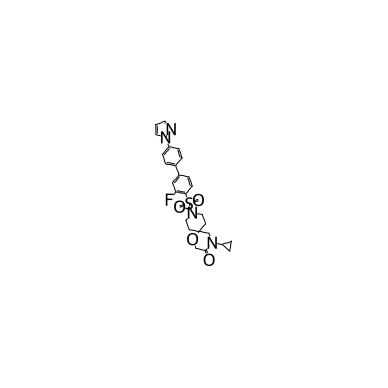 O=C1COC2(CCN(S(=O)(=O)c3ccc(-c4ccc(-n5cccn5)cc4)cc3F)CC2)CN1C1CC1